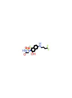 O=C1CN(c2c(O)cc3cc(NCCCC(F)F)ccc3c2F)S(=O)(=O)N1